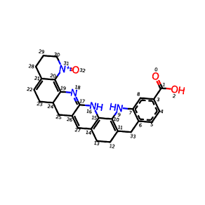 O=C(O)c1ccc2c(c1)NC1=C(CCC3=C1NC1=NC4=C5C(=CCC4CC1=C3)CCC[N+]5=O)C2